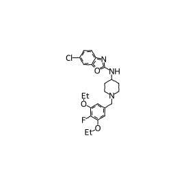 CCOc1cc(CN2CCC(Nc3nc4ccc(Cl)cc4o3)CC2)cc(OCC)c1F